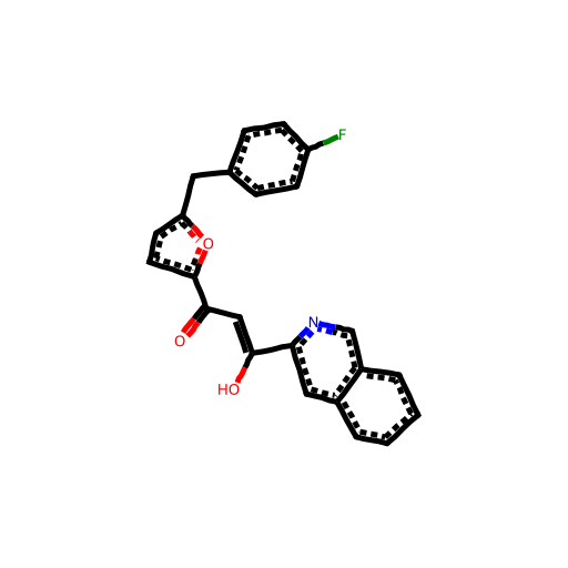 O=C(C=C(O)c1cc2ccccc2cn1)c1ccc(Cc2ccc(F)cc2)o1